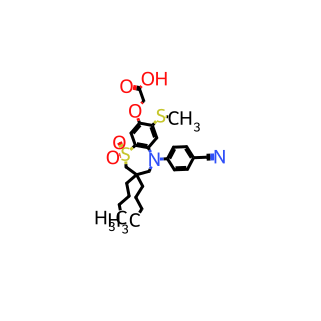 CCCCC1(CCCC)CN(c2ccc(C#N)cc2)c2cc(SC)c(OCC(=O)O)cc2S(=O)(=O)C1